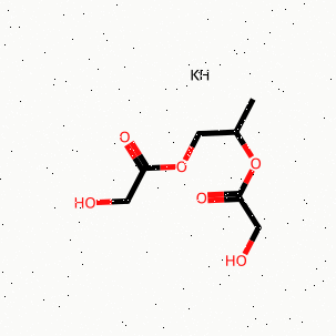 CC(COC(=O)CO)OC(=O)CO.[KH]